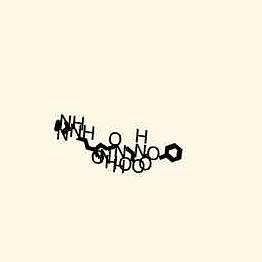 O=C(NC(CNC(=O)C1=NOC(CCCNc2ncc[nH]2)C1)C(=O)O)OCc1ccccc1